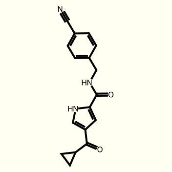 N#Cc1ccc(CNC(=O)c2cc(C(=O)C3CC3)c[nH]2)cc1